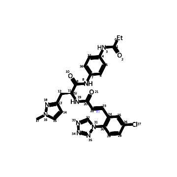 CCC(=O)Nc1ccc(NC(=O)[C@H](Cc2ccn(C)n2)NC(=O)/C=C/c2cc(Cl)ccc2-n2cnnn2)cc1